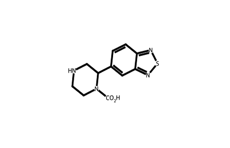 O=C(O)N1CCNCC1c1ccc2nsnc2c1